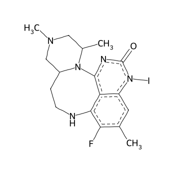 Cc1cc2c3c(nc(=O)n2I)N2C(C)CN(C)CC2CCNc3c1F